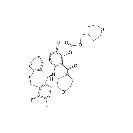 O=C(OCC1CCOCC1)Oc1c2n(ccc1=O)N([C@@H]1c3ccccc3SCc3c1ccc(F)c3F)[C@@H]1COCCN1C2=O